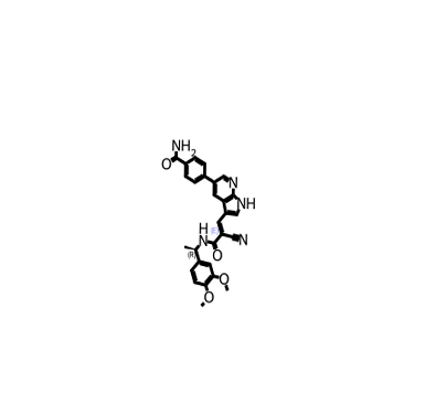 COc1ccc([C@@H](C)NC(=O)/C(C#N)=C/c2c[nH]c3ncc(-c4ccc(C(N)=O)cc4)cc23)cc1OC